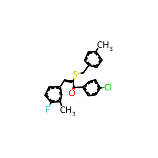 Cc1ccc(CSC(=Cc2ccc(F)c(C)c2)C(=O)c2ccc(Cl)cc2)cc1